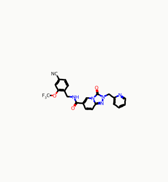 N#Cc1ccc(CNC(=O)c2ccc3nn(Cc4ccccn4)c(=O)n3c2)c(OC(F)(F)F)c1